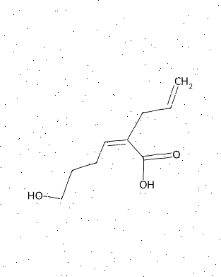 C=CCC(=CCCCO)C(=O)O